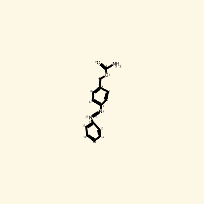 NC(=O)OCc1ccc(/N=N/c2ccccc2)cc1